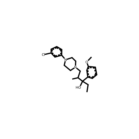 CCC(O)(c1cccc(OC)c1)C(C)CN1CCN(c2cccc(Cl)c2)CC1